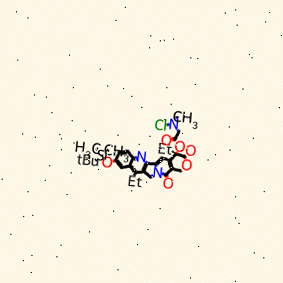 CCc1c2c(nc3ccc(O[Si](C)(C)C(C)(C)C)cc13)-c1cc3c(c(=O)n1C2)COC(=O)[C@@]3(CC)OC(=O)CN(C)Cl